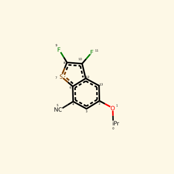 CC(C)Oc1cc(C#N)c2sc(F)c(F)c2c1